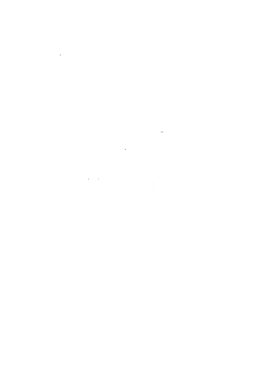 COC1(OOC2CCCC2)C2CC3CC(C2)CC1C3